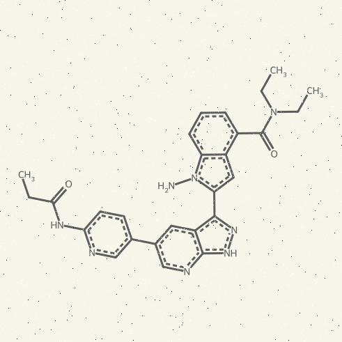 CCC(=O)Nc1ccc(-c2cnc3[nH]nc(-c4cc5c(C(=O)N(CC)CC)cccc5n4N)c3c2)cn1